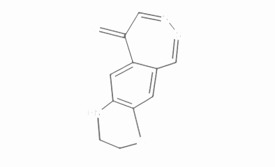 O=c1cnncc2cc3c(cc12)NCCO3